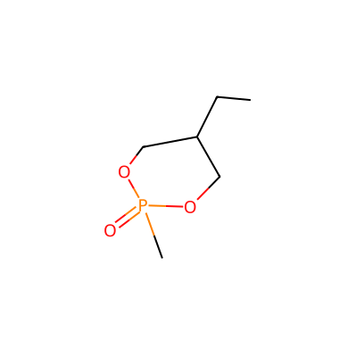 CCC1COP(C)(=O)OC1